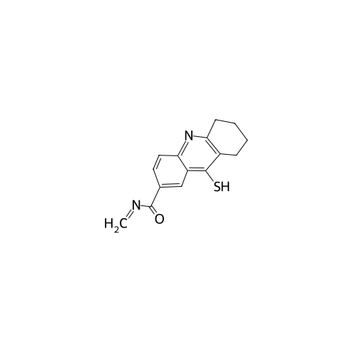 C=NC(=O)c1ccc2nc3c(c(S)c2c1)CCCC3